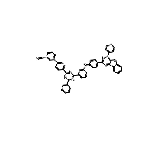 N#Cc1cccc(-c2ccc(-c3nc(-c4ccccc4)nc(-c4cccc(Sc5ccc(-c6nc(-c7ccccc7)c7sc8ccccc8c7n6)cc5)c4)n3)cc2)c1